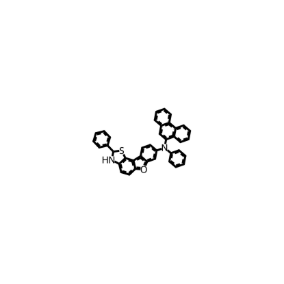 c1ccc(C2Nc3ccc4oc5cc(N(c6ccccc6)c6cc7ccccc7c7ccccc67)ccc5c4c3S2)cc1